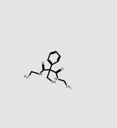 CCNC(=O)C(CO)(C(=O)NCC)c1ccccc1